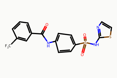 O=C(Nc1ccc(S(=O)(=O)Nc2nccs2)cc1)c1cccc(C(F)(F)F)c1